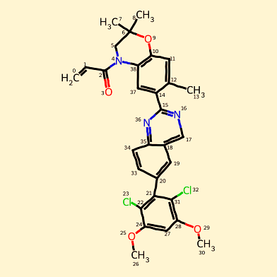 C=CC(=O)N1CC(C)(C)Oc2cc(C)c(-c3ncc4cc(-c5c(Cl)c(OC)cc(OC)c5Cl)ccc4n3)cc21